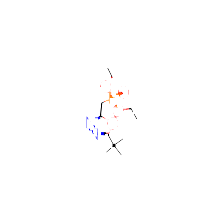 CCOP(=O)(Cc1nnc(C(C)(C)C)o1)OCC